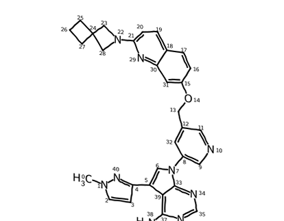 Cn1ccc(-c2cn(-c3cncc(COc4ccc5ccc(N6CC7(CCC7)C6)nc5c4)c3)c3ncnc(N)c23)n1